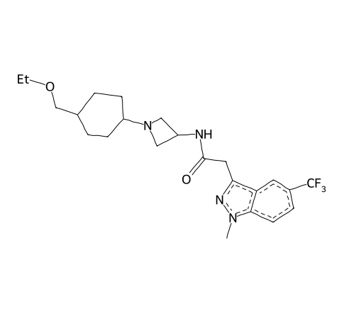 CCOCC1CCC(N2CC(NC(=O)Cc3nn(C)c4ccc(C(F)(F)F)cc34)C2)CC1